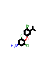 CC(C)c1cc(Oc2c(Cl)cc(N)cc2Cl)ccc1Br